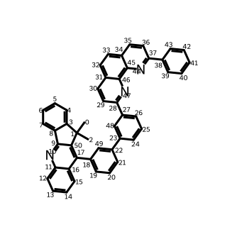 CC1(C)c2ccccc2-c2nc3ccccc3c(-c3cccc(-c4cccc(-c5ccc6ccc7ccc(-c8ccccc8)nc7c6n5)c4)c3)c21